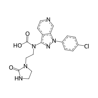 O=C1NCCN1CCN(C(=O)O)c1nn(-c2ccc(Cl)cc2)c2cnccc12